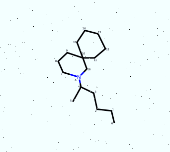 CCCCC(C)N1CCCC2(CCCCC2)C1